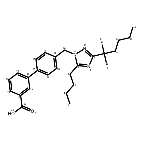 CCCCc1nc(C(F)(F)CCCC)nn1Cc1ccc(-c2cccc(C(=O)O)c2)cc1